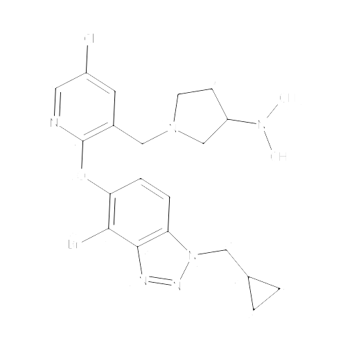 CN(C)C1CCN(Cc2cc(Cl)cnc2Oc2ccc3c(nnn3CC3CC3)c2Br)C1